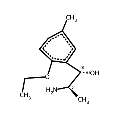 CCOc1ccc(C)cc1[C@H](O)[C@@H](C)N